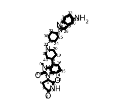 Cn1c(=O)n(C2CCC(=O)NC2=O)c2cccc(C3CCN(C[C@H]4CC[C@H](n5cc6cc(N)ccc6n5)CC4)CC3)c21